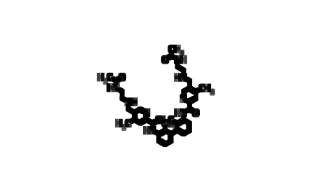 CC(=O)NCCNCc1cnc(C(=O)Nc2cccc(-c3cccc(NC(=O)c4cc(C)c(CNCCNC(C)=O)cn4)c3C)c2C)cc1C